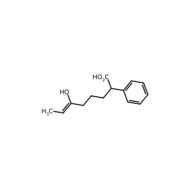 CC=C(O)CCCC(C(=O)O)c1ccccc1